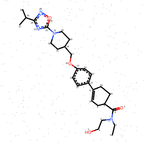 CCN(CCO)C(=O)C1CC=C(c2ccc(OCC3CCN(c4nc(C(C)C)no4)CC3)cc2)CC1